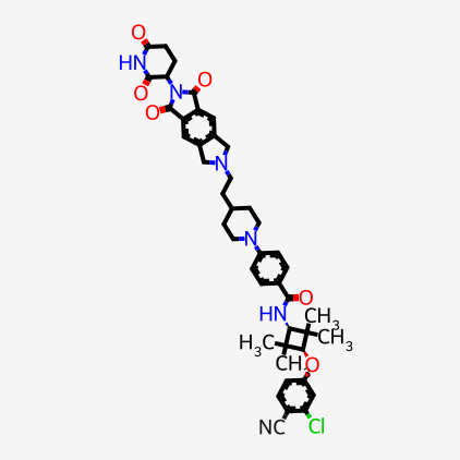 CC1(C)[C@H](NC(=O)c2ccc(N3CCC(CCN4Cc5cc6c(cc5C4)C(=O)N(C4CCC(=O)NC4=O)C6=O)CC3)cc2)C(C)(C)[C@H]1Oc1ccc(C#N)c(Cl)c1